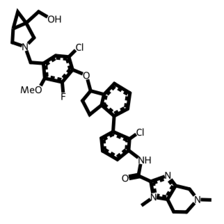 COc1c(CN2CC3CC3(CO)C2)cc(Cl)c(OC2CCc3c(-c4cccc(NC(=O)c5nc6c(n5C)CCN(C)C6)c4Cl)cccc32)c1F